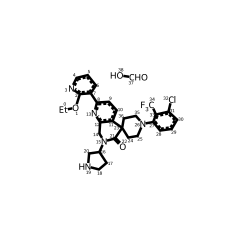 CCOc1ncccc1-c1ccc2c(n1)CN(C1CCNC1)C(=O)C21CCN(c2cccc(Cl)c2C(F)(F)F)CC1.O=CO